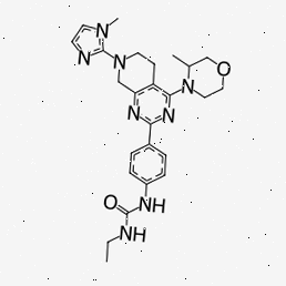 CCNC(=O)Nc1ccc(-c2nc3c(c(N4CCOCC4C)n2)CCN(c2nccn2C)C3)cc1